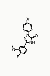 COc1cc(-c2nn(-c3ccc(Br)cn3)c(=O)[nH]2)ccc1F